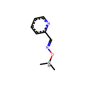 C[SiH](C)ON=Cc1ccccn1